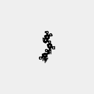 COc1cc2nccc(Oc3ccc(NC(=O)Cc4ccc(Cl)c(C(F)(F)F)c4)c(Cl)c3)c2cc1OC